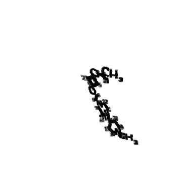 CC(I)O[C@H]1C[C@H](OCCN2CCN(C3CCN(C)CC3)CC2)C1